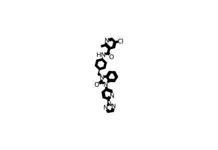 Cc1ncc(Cl)cc1C(=O)N[C@H]1CC[C@H](Cn2c(=O)n(-c3ccc(-n4nccn4)nc3)c3ccccc32)CC1